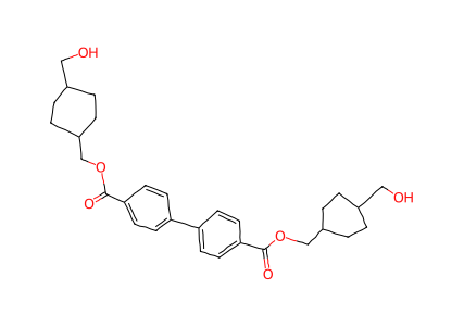 O=C(OCC1CCC(CO)CC1)c1ccc(-c2ccc(C(=O)OCC3CCC(CO)CC3)cc2)cc1